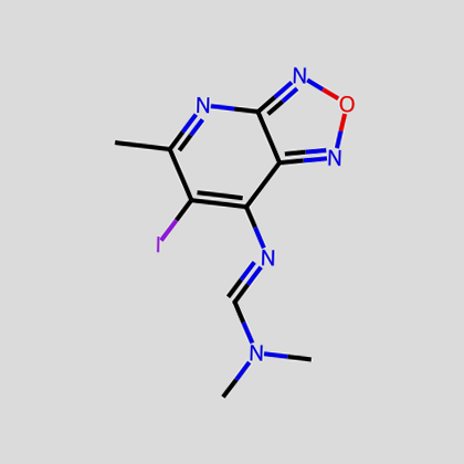 Cc1nc2nonc2c(/N=C/N(C)C)c1I